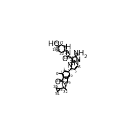 Cc1cc(-c2ccn3nc(N)c(C(=O)N[C@H]4CC[C@](C)(O)CC4)c3n2)cc2c1C(=O)N(C(C)C1CC1)C2